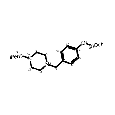 CCCCCCCCOc1ccc(CN2CCN(C(C)CCC)CC2)cc1